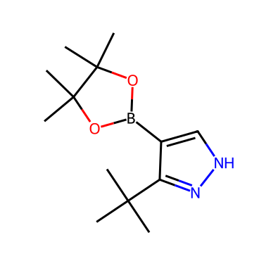 CC(C)(C)c1n[nH]cc1B1OC(C)(C)C(C)(C)O1